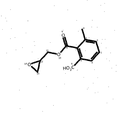 Cc1cccc(C(=O)O)c1C(=O)OCC1CO1